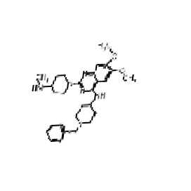 CNC1CCN(c2nc(NC3CCN(Cc4ccccc4)CC3)c3cc(OC)c(OC)cc3n2)CC1